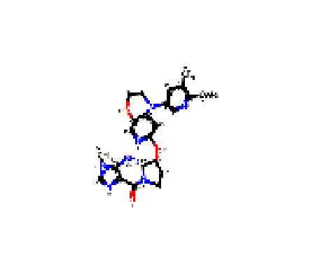 COc1ncc(N2CCOc3cnc(O[C@H]4CCN(C(=O)c5ncn(C)c5N)C4)cc32)cc1C(F)(F)F